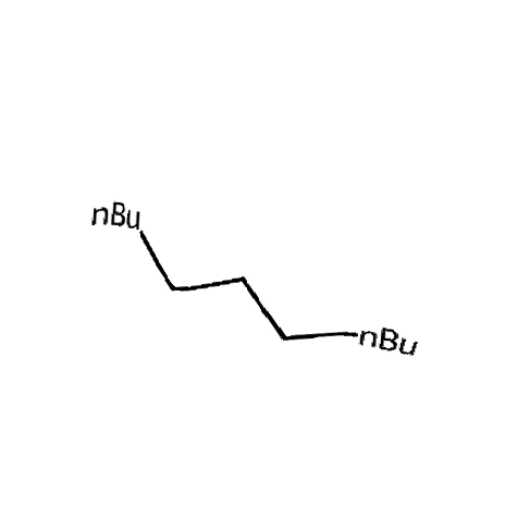 C[CH]CCCCCCCCC